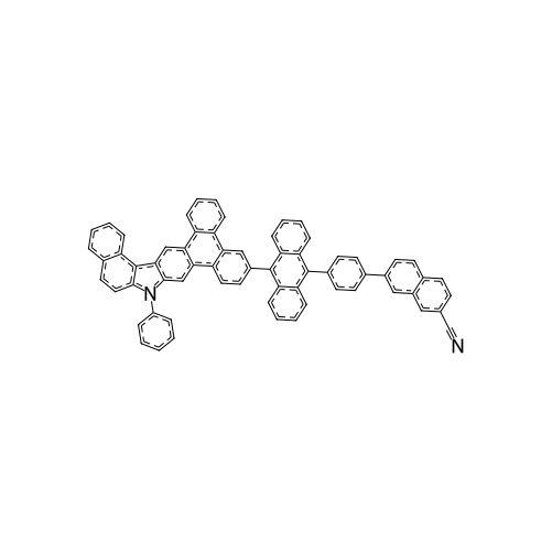 N#Cc1ccc2ccc(-c3ccc(-c4c5ccccc5c(-c5ccc6c(c5)c5ccccc5c5cc7c8c9ccccc9ccc8n(-c8ccccc8)c7cc65)c5ccccc45)cc3)cc2c1